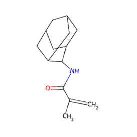 C=C(C)C(=O)NC1C2CC3CC(C2)CC1C3